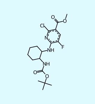 COC(=O)c1cc(F)c(NC2CCCCC2NC(=O)OC(C)(C)C)nc1Cl